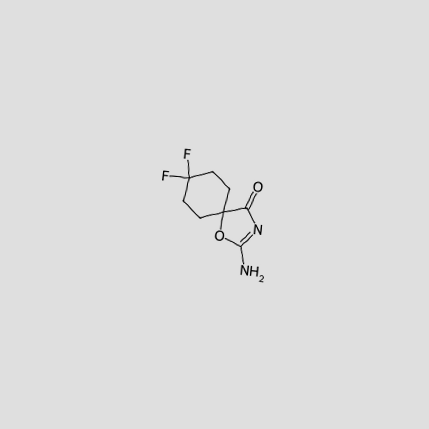 NC1=NC(=O)C2(CCC(F)(F)CC2)O1